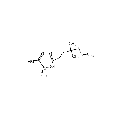 CSSC(C)(C)CCC(=O)N[C@@H](C)C(=O)O